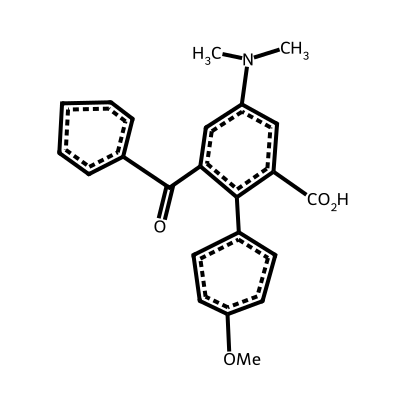 COc1ccc(-c2c(C(=O)O)cc(N(C)C)cc2C(=O)c2ccccc2)cc1